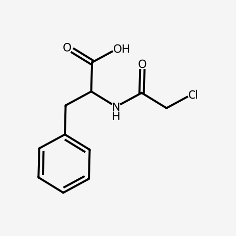 O=C(CCl)NC(Cc1ccccc1)C(=O)O